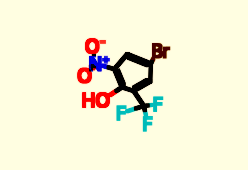 O=[N+]([O-])c1cc(Br)cc(C(F)(F)F)c1O